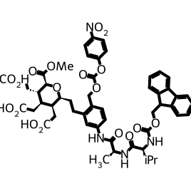 COC(=O)[C@H]1O[C@@H](CCc2cc(NC(=O)[C@H](C)NC(=O)[C@@H](NC(=O)OCC3c4ccccc4-c4ccccc43)C(C)C)ccc2COC(=O)Oc2ccc([N+](=O)[O-])cc2)[C@@H](CC(=O)O)[C@@H](CC(=O)O)[C@@H]1CC(=O)O